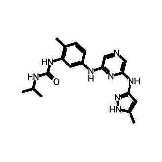 Cc1cc(Nc2cncc(Nc3ccc(C)c(NC(=O)NC(C)C)c3)n2)n[nH]1